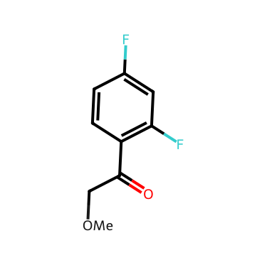 COCC(=O)c1ccc(F)cc1F